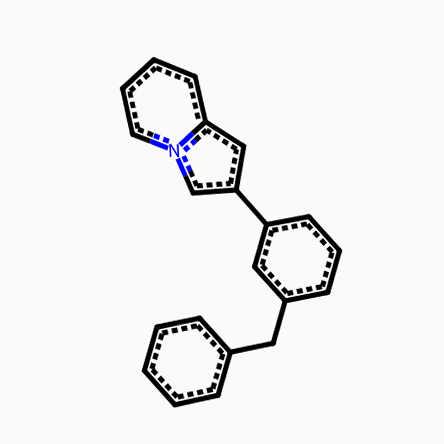 c1ccc(Cc2cccc(-c3cc4ccccn4c3)c2)cc1